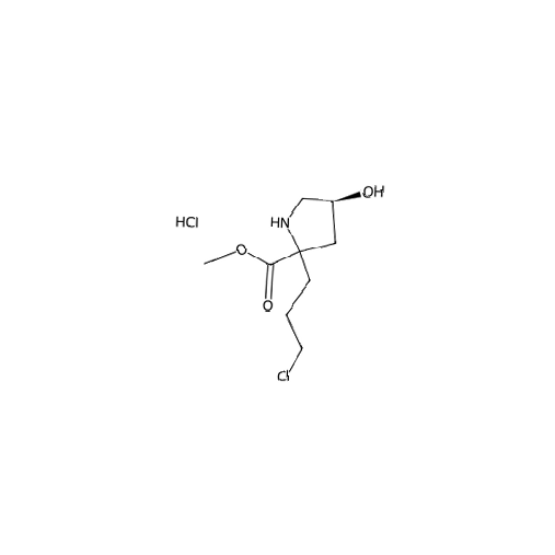 COC(=O)C1(CCCCl)C[C@H](O)CN1.Cl